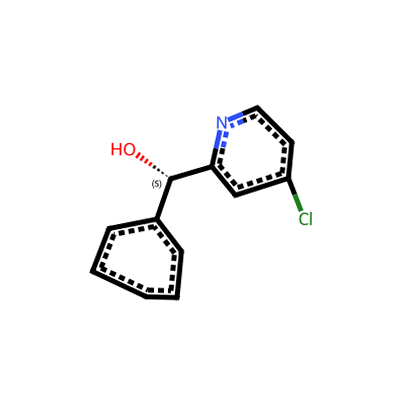 O[C@@H](c1ccccc1)c1cc(Cl)ccn1